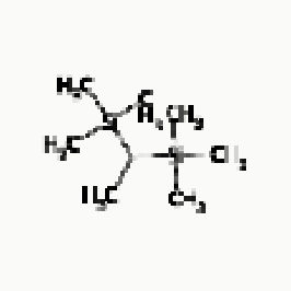 C[C]([Si](C)(C)C)[Si](C)(C)C